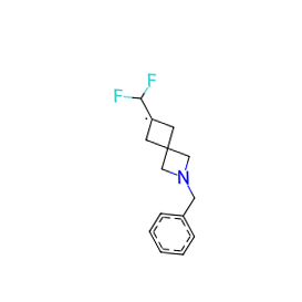 FC(F)[C]1CC2(C1)CN(Cc1ccccc1)C2